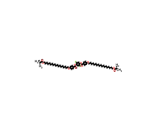 C=C(C)C(=O)OCCCCCCCCCCCCCCCCCCCOc1ccc(C(=O)Oc2cc(F)c(OC(=O)c3ccc(OCCCCCCCCCCCCCCCCCCCOC(=O)C(=C)C)cc3)cc2F)cc1